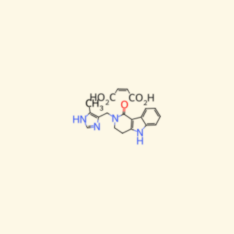 Cc1[nH]cnc1CN1CCc2[nH]c3ccccc3c2C1=O.O=C(O)/C=C\C(=O)O